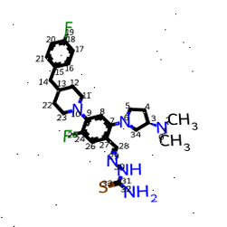 CN(C)[C@@H]1CCN(c2cc(N3CCC(Cc4ccc(F)cc4)CC3)c(F)cc2C=NNC(N)=S)C1